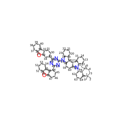 CC1(C)CCC(C)(C)c2c(-n3c4ccccc4c4c5c6ccccc6n(-c6nc(-c7ccc8c(c7)oc7ccccc78)nc(-c7cccc8oc9ccccc9c78)n6)c5ccc43)cccc21